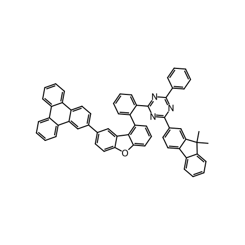 CC1(C)c2ccccc2-c2ccc(-c3nc(-c4ccccc4)nc(-c4ccccc4-c4cccc5oc6ccc(-c7ccc8c9ccccc9c9ccccc9c8c7)cc6c45)n3)cc21